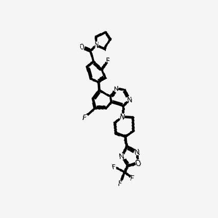 O=C(c1ccc(-c2cc(F)cc3c(N4CCC(c5noc(C(F)(F)F)n5)CC4)ncnc23)cc1F)N1CCCC1